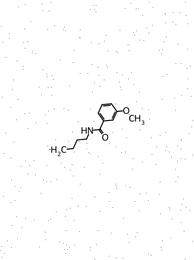 [CH2]CCCNC(=O)c1cccc(OC)c1